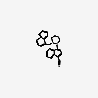 N#Cc1ccc(N2CCCCN2Cc2cccc3ccccc23)c2ccccc12